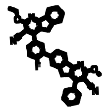 CCOc1nc2c(c(-c3ccc(F)c(-c4ccc5c(c4)Cc4c-5nc(OC)c(C#N)c4-c4ccccc4)c3)c1C#N)Cc1ccccc1-2